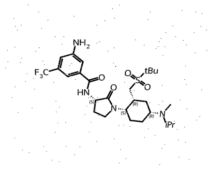 CC(C)N(C)[C@@H]1CC[C@H](N2CC[C@H](NC(=O)c3cc(N)cc(C(F)(F)F)c3)C2=O)[C@H](CS(=O)(=O)C(C)(C)C)C1